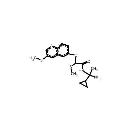 CSc1cnc2ccc(OC(SC)C(=O)NC(C)(N)C3CC3)cc2c1